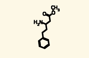 COC(=O)CC(N)CCc1ccccc1